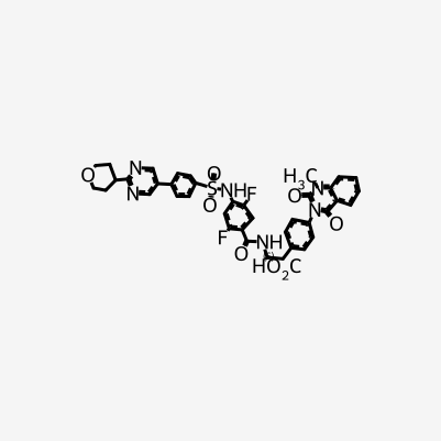 Cn1c(=O)n(-c2ccc(C[C@H](NC(=O)c3cc(F)c(NS(=O)(=O)c4ccc(-c5cnc(C6CCOCC6)nc5)cc4)cc3F)C(=O)O)cc2)c(=O)c2ccccc21